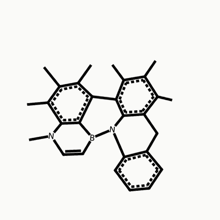 Cc1c(C)c2c3c(c1C)-c1c(C)c(C)c(C)c4c1B(C=CN4C)N3c1ccccc1C2